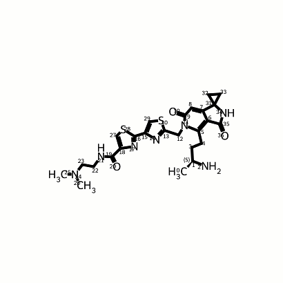 C[C@H](N)CCc1c2c(cc(=O)n1Cc1nc(-c3nc(C(=O)NCCN(C)C)cs3)cs1)C1(CC1)NC2=O